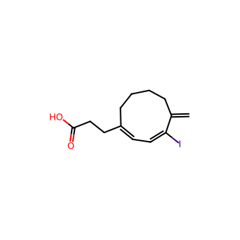 C=C1CCCC/C(CCC(=O)O)=C\C=C/1I